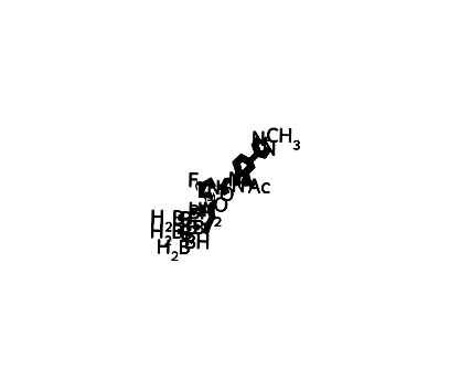 BBB(B)B(B(B)B)B1CC1CNC(=O)[C@@H]1C[C@@H](F)CN1C(=O)Cn1nc(C(C)=O)c2cc(-c3cnc(C)nc3)ccc21